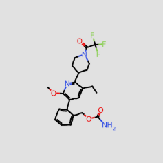 CCc1cc(-c2ccccc2COC(N)=O)c(OC)nc1C1CCN(C(=O)C(F)(F)F)CC1